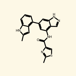 Cc1cc2c(-c3cc(NC(=O)c4csc(C)n4)c4cn[nH]c4c3)cccc2[nH]1